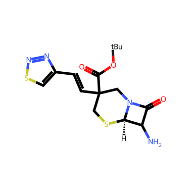 CC(C)(C)OC(=O)C1(C=Cc2csnn2)CS[C@@H]2C(N)C(=O)N2C1